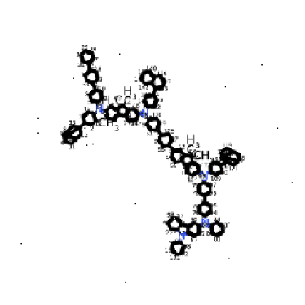 Cc1cc(C23CC4CC(CC(C4)C2)C3)ccc1N(c1ccc(-c2ccc(-c3ccccc3)cc2)cc1)c1ccc2c(c1)C(C)(C)c1cc(N(c3ccc(-c4ccc(-c5ccc6c(c5)C(C)(C)c5cc(N(c7ccc(-c8ccc(N(c9ccccc9)c9ccc%10c(c9)c9ccccc9n%10-c9ccccc9)cc8)cc7)c7ccc(C89CC%10CC(CC(C%10)C8)C9)cc7)ccc5-6)cc4)cc3)c3ccc(-c4cccc5ccccc45)cc3)ccc1-2